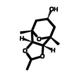 CC1O[C@@H]2[C@H](O1)[C@@]1(C)C[C@@H](O)C[C@]2(C)O1